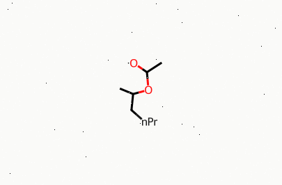 CCCCC(C)OC(C)[O]